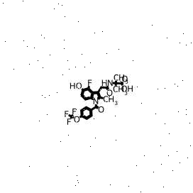 Cc1c(CC(=O)NC(C)(C)C(=O)O)c2c(F)c(O)ccc2n1C(=O)c1ccc(OC(F)(F)F)cc1